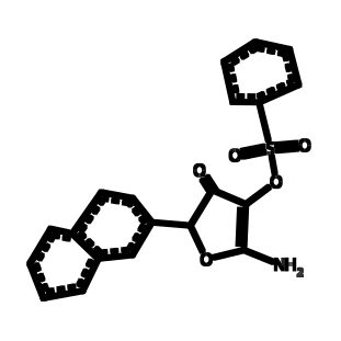 NC1=C(OS(=O)(=O)c2ccccc2)C(=O)C(c2ccc3ccccc3c2)O1